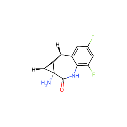 N[C@@]12C(=O)Nc3c(F)cc(F)cc3[C@@H]3C1[C@@H]32